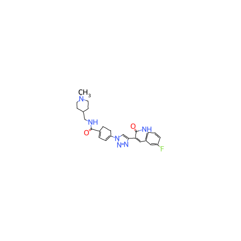 CN1CCC(CNC(=O)C2=CC=C(n3cc(-c4cc5cc(F)ccc5[nH]c4=O)nn3)CC2)CC1